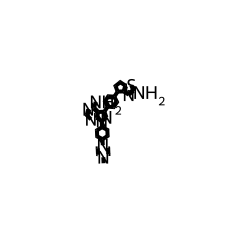 CN1CCN(C2CCC(n3nc(-c4ccc(C5CCc6sc(N)nc65)cc4)c4c(N)ncnc43)CC2)CC1